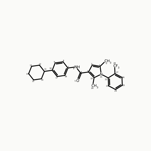 Cc1cc(C(=O)Nc2ccc(C3CCCCC3)cc2)c(C)n1-c1ccccc1C(F)(F)F